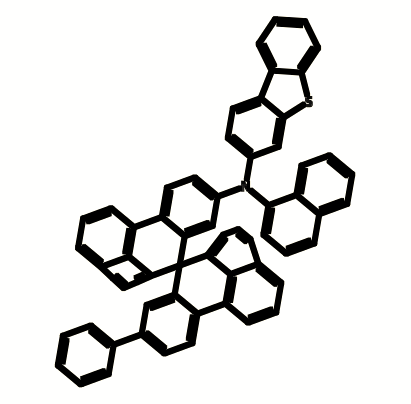 c1ccc(-c2ccc3c(c2)C2(c4cc(N(c5ccc6c(c5)sc5ccccc56)c5cccc6ccccc56)ccc4-c4cccc5cccc2c45)c2cccc4cccc-3c24)cc1